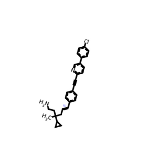 CC(C/C=C/c1ccc(C#Cc2ccc(-c3ccc(Cl)cc3)cn2)cc1)(CCN)C1CC1